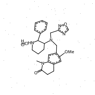 COc1cc2c(cc1CN(Cc1ncon1)C1CCCNC1c1ccccc1)N(C)C(=O)CC2.Cl.Cl